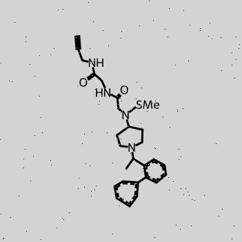 C#CCNC(=O)CNC(=O)CN(SC)C1CCN(C(C)c2ccccc2-c2ccccc2)CC1